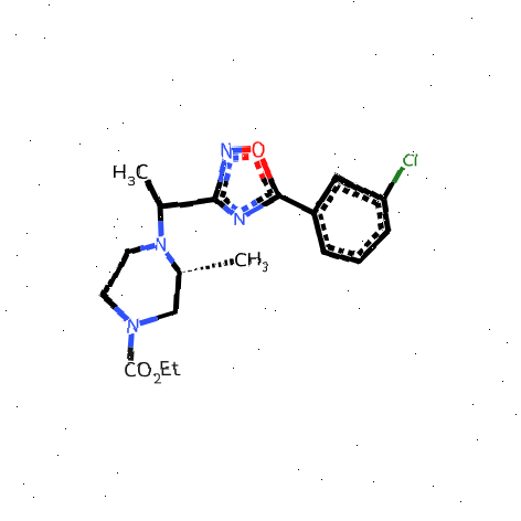 CCOC(=O)N1CCN(C(C)c2noc(-c3cccc(Cl)c3)n2)[C@H](C)C1